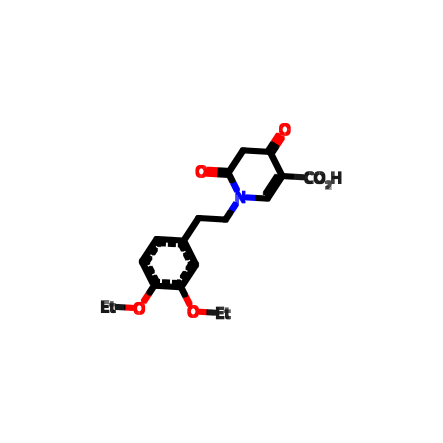 CCOc1ccc(CCN2C=C(C(=O)O)C(=O)CC2=O)cc1OCC